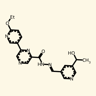 CCOc1ccc(-c2cncc(C(=O)N/N=C/c3cncc(C(C)O)c3)n2)cn1